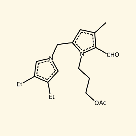 CCc1cn(Cc2cc(C)c(C=O)n2CCCOC(C)=O)cc1CC